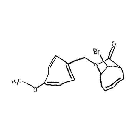 COc1ccc(CN2C(=O)C3C=CC2C3Br)cc1